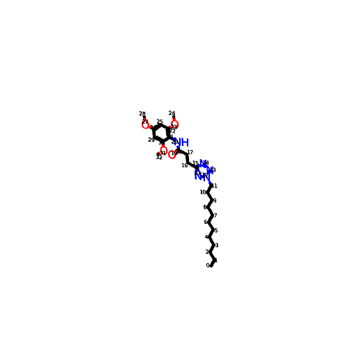 CCCCCCCCCCCCn1nnc(CCC(=O)Nc2c(OC)cc(OC)cc2OC)n1